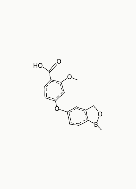 COc1cc(Oc2ccc3c(c2)COB3C)ccc1C(=O)O